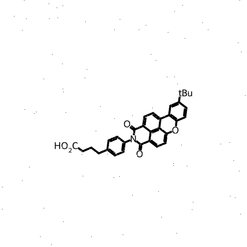 CC(C)(C)c1ccc2oc3ccc4c(=O)n(-c5ccc(CCCC(=O)O)cc5)c(=O)c5ccc(c2c1)c3c45